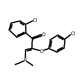 CN(C)C=C(Oc1ccc(Cl)cc1)C(=O)c1ccccc1Cl